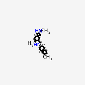 CNC1CC2(CC[C@@H](C)C(CNC3CCC4(CC3)CC[C@@H](C)C4)C2)C1